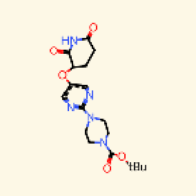 CC(C)(C)OC(=O)N1CCN(c2ncc(OC3CCC(=O)NC3=O)cn2)CC1